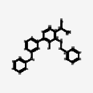 Cc1c(-c2cccc(Oc3ccccc3)c2)cnc(C(=O)O)c1OCc1ccccc1